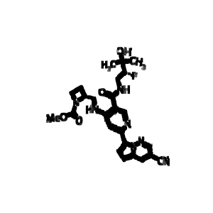 COC(=O)N1CC[C@H]1CNc1cc(-c2ccc3cc(C#N)cnn23)ncc1C(=O)NC[C@@H](F)C(C)(C)O